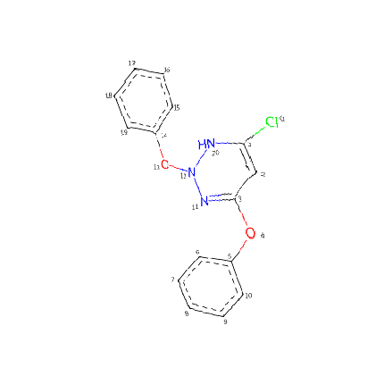 ClC1=CC(Oc2ccccc2)=NN(Oc2ccccc2)N1